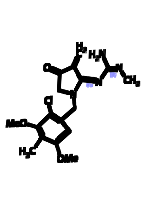 C=C1C(=O)CN(Cc2cc(OC)c(C)c(OC)c2Cl)/C1=N/C(N)=N\C